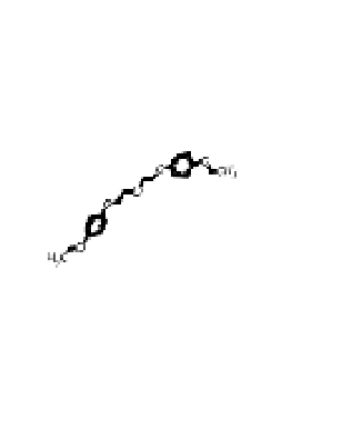 CCOc1ccc(OCCOCCOc2ccc(OCC)cc2)cc1